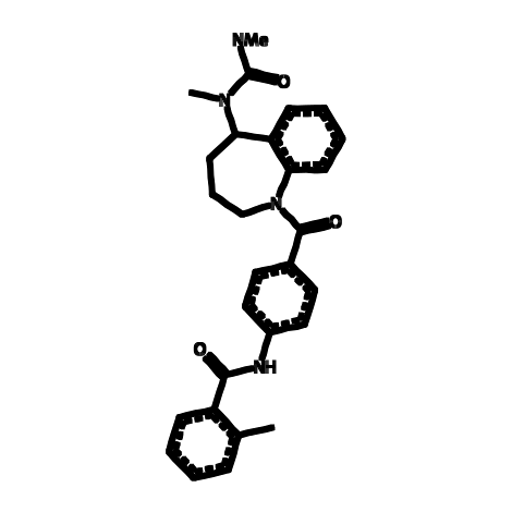 CNC(=O)N(C)C1CCCN(C(=O)c2ccc(NC(=O)c3ccccc3C)cc2)c2ccccc21